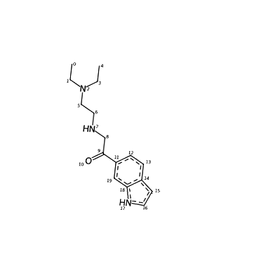 CCN(CC)CCNCC(=O)c1ccc2[c]c[nH]c2c1